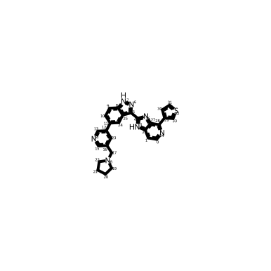 c1cc2[nH]c(-c3n[nH]c4ccc(-c5cncc(CN6CCCC6)c5)cc34)nc2c(-c2ccsc2)n1